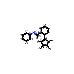 CC1=C(C)C(C)C(c2ccccc2/C(C)=N/c2ccccc2)=C1C